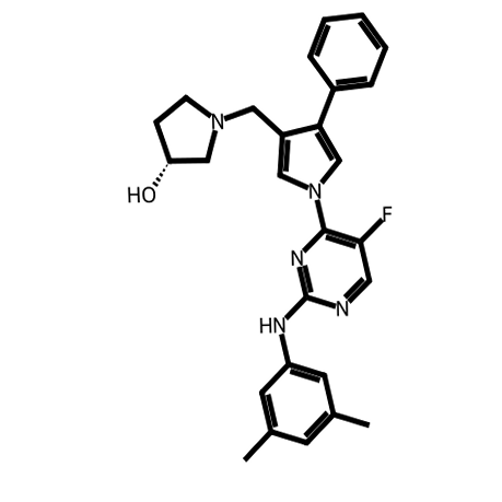 Cc1cc(C)cc(Nc2ncc(F)c(-n3cc(CN4CC[C@@H](O)C4)c(-c4ccccc4)c3)n2)c1